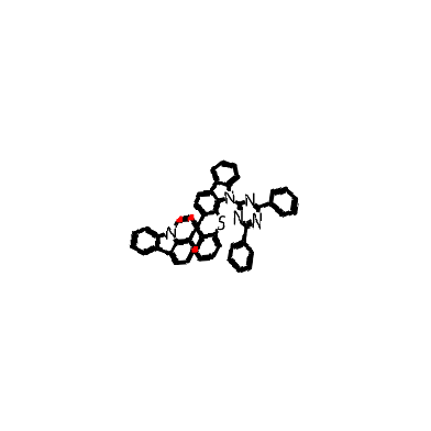 c1ccc(-c2nc(-c3ccccc3)nc(-n3c4ccccc4c4ccc5c(c43)Sc3ccccc3C53c4ccccc4-n4c5ccccc5c5cccc3c54)n2)cc1